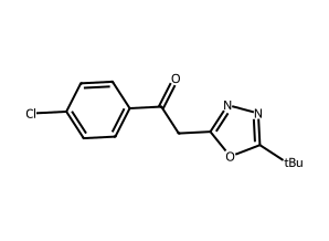 CC(C)(C)c1nnc(CC(=O)c2ccc(Cl)cc2)o1